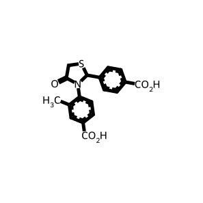 Cc1cc(C(=O)O)ccc1N1C(=O)CSC1c1ccc(C(=O)O)cc1